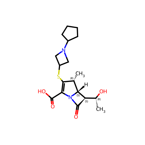 C[C@@H](O)[C@H]1C(=O)N2C(C(=O)O)=C(SC3CN(C4CCCC4)C3)[C@H](C)[C@H]12